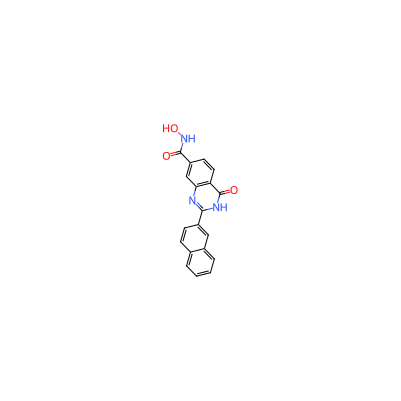 O=C(NO)c1ccc2c(=O)[nH]c(-c3ccc4ccccc4c3)nc2c1